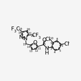 O=C(Nc1ccc(Cl)cc1Cl)c1ccc(Cn2nc(C(F)(F)F)cc2C(F)(F)F)o1